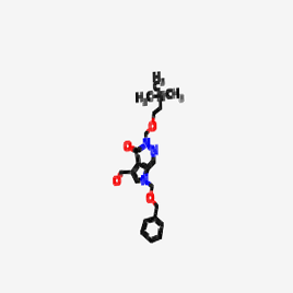 C[Si](C)(C)CCOCn1ncc2c(c(C=O)cn2COCc2ccccc2)c1=O